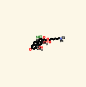 CCN(CC)CCCCCC(=O)OCC(=O)[C@@]1(O)CC[C@H]2[C@@H]3CCC4=CC(=O)C=C(C)[C@]4(C)[C@H]3C(O)C[C@@]21C.Cl